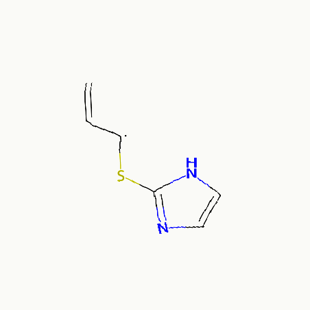 C=C[CH]Sc1ncc[nH]1